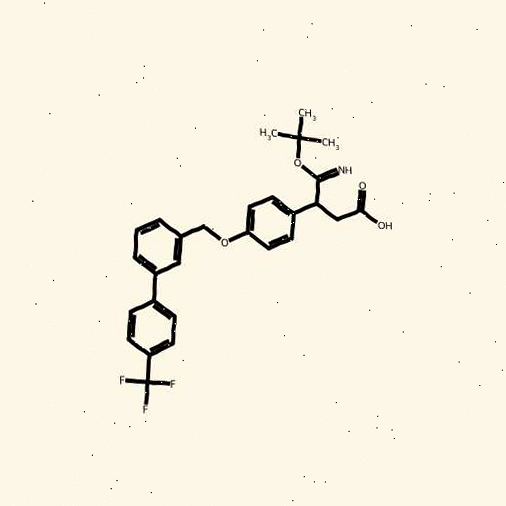 CC(C)(C)OC(=N)C(CC(=O)O)c1ccc(OCc2cccc(-c3ccc(C(F)(F)F)cc3)c2)cc1